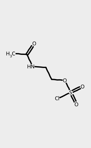 CC(=O)NCCOS(=O)(=O)Cl